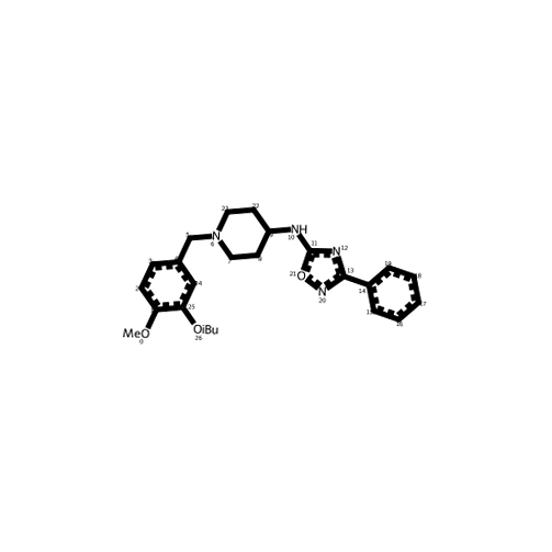 COc1ccc(CN2CCC(Nc3nc(-c4ccccc4)no3)CC2)cc1OCC(C)C